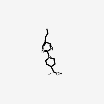 CCCc1cnc(N2CCC([C@@H](C)O)CC2)nc1